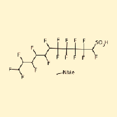 CNC.O=S(=O)(O)C(F)C(F)(F)C(F)(F)C(F)(F)C(F)(F)C(F)C(F)C(F)C(F)C(F)C(F)F